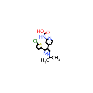 CC(C)n1cc(-c2ccnc(NC(=O)O)c2)c(-c2ccc(Cl)s2)n1